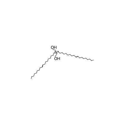 CCCCCCCCC=CCCCCCCCCC[N+](CCO)(CCO)CCCCCCCCC=CCCCCCCCC